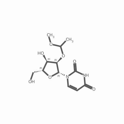 COC(C)O[C@@H]1[C@H](O)[C@@H](CO)O[C@H]1n1ccc(=O)[nH]c1=O